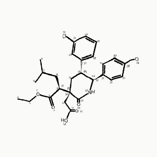 CCOC(=O)[C@@H](CC(C)C)[C@]1(CC(=O)O)C[C@H](c2cccc(Cl)c2)[C@@H](c2ccc(Cl)cc2)NC1=O